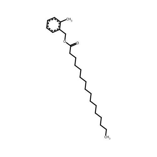 CCCCCCCCCCCCCCCC(=O)OCc1ccccc1C